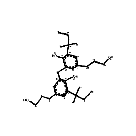 CCC(C)(C)c1cc(CCCO)cc(Cc2cc(CCCO)cc(C(C)(C)CC)c2O)c1O